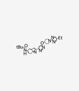 CCc1cnc(N2CCC(Oc3cc(C4=CC5=CC(NC(=O)C(C)(C)C)=CCC5=N4)ncn3)CC2)nc1